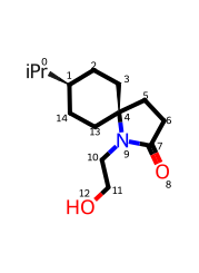 CC(C)[C@H]1CC[C@]2(CCC(=O)N2CCO)CC1